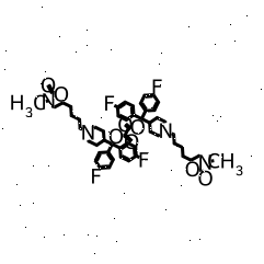 CN1CC(CCCCN2CCC(C(OC(=O)C(=O)OC(c3ccc(F)cc3)(c3ccc(F)cc3)C3CCN(CCCCC4CN(C)C(=O)O4)CC3)(c3ccc(F)cc3)c3ccc(F)cc3)CC2)OC1=O